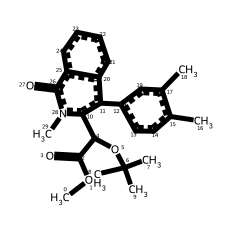 COC(=O)C(OC(C)(C)C)c1c(-c2ccc(C)c(C)c2)c2ccccc2c(=O)n1C